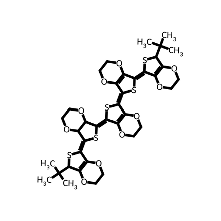 CC(C)(C)C1S/C(=C2/S/C(=c3/s/c(=c4/s/c(=C5/SC(C(C)(C)C)C6=C5OCCO6)c5c4OCCO5)c4c3OCCO4)C3OCCOC23)C2=C1OCCO2